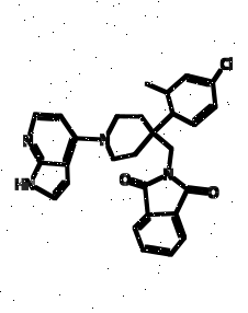 CC1C=C(Cl)C=CC1C1(CN2C(=O)c3ccccc3C2=O)CCN(c2ccnc3[nH]ccc23)CC1